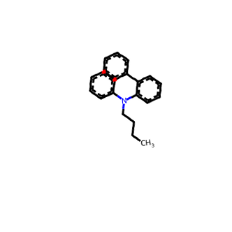 CCCCN(c1ccccc1)c1ccccc1-c1ccccc1